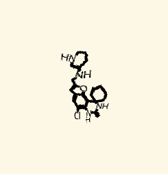 C=C1Nc2c(Cl)cc3cc(CNC4CCCNC4)oc3c2C2(CCCCC2)N1